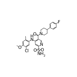 COc1cc(C)c(Nc2cc(S(N)(=O)=O)ncc2C(=O)N2CCC(c3ccc(F)cc3)CC2)cc1Cl